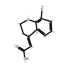 O=C(O)C=C1CCOc2c(F)cccc21